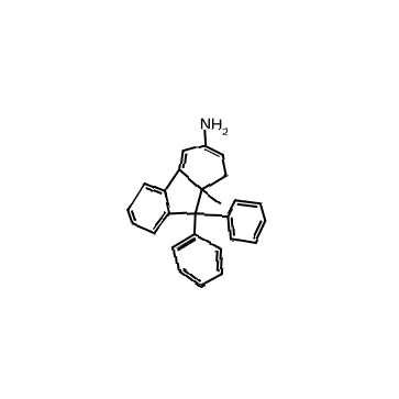 CC12CC=C(N)C=C1c1ccccc1C2(c1ccccc1)c1ccccc1